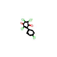 O=C1C(Cl)=C(Cl)C(=O)C(c2ccc(Cl)cc2)=C1Cl